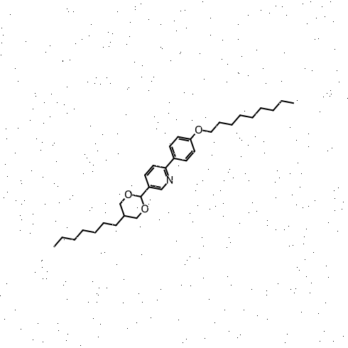 CCCCCCCCCOc1ccc(-c2ccc(C3OCC(CCCCCCC)CO3)cn2)cc1